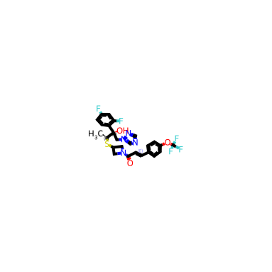 C[C@@H](SC1CN(C(=O)/C=C/c2ccc(OC(F)(F)F)cc2)C1)[C@](O)(Cn1cncn1)c1ccc(F)cc1F